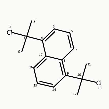 CC(C)(Cl)c1cccc2c(C(C)(C)Cl)cccc12